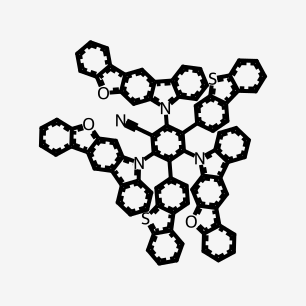 N#Cc1c(-n2c3ccccc3c3cc4c(cc32)oc2ccccc24)c(-c2ccc3c(c2)sc2ccccc23)c(-n2c3ccccc3c3cc4c(cc32)oc2ccccc24)c(-c2ccc3c(c2)sc2ccccc23)c1-n1c2ccccc2c2cc3c(cc21)oc1ccccc13